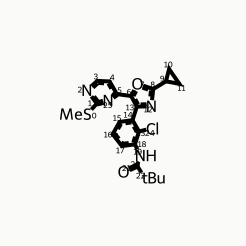 CSc1nccc(-c2oc(C3CC3)nc2-c2cccc(NC(=O)C(C)(C)C)c2Cl)n1